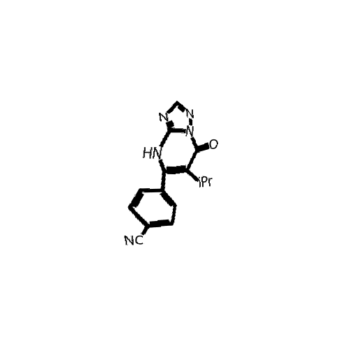 CC(C)c1c(-c2ccc(C#N)cc2)[nH]c2ncnn2c1=O